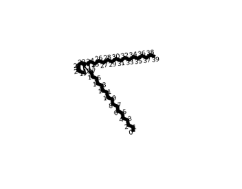 CCCCCCCCCCCCCCCCCC[n+]1ccccc1CCCCCCCCCCCCCCCC